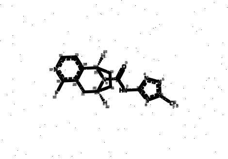 O=C(Nc1nnc(C(F)(F)F)s1)N1[C@H]2CC[C@@H]1c1ccnc(F)c1C2